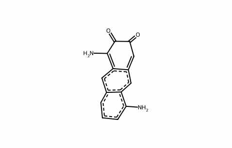 NC1=c2cc3cccc(N)c3cc2=CC(=O)C1=O